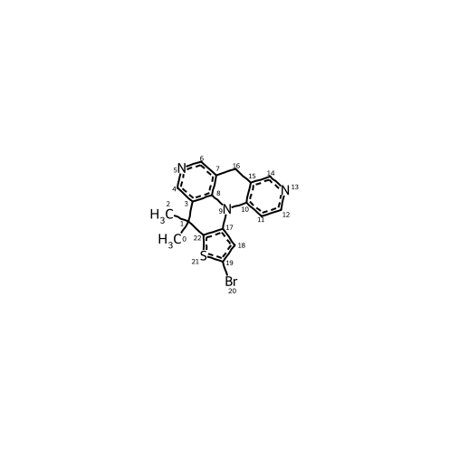 CC1(C)c2cncc3c2N(c2ccncc2C3)c2cc(Br)sc21